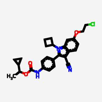 CC(OC(=O)Nc1ccc(-c2c(C#N)c3ccc(OCCCl)cc3n2C2CCC2)cc1)C1CC1